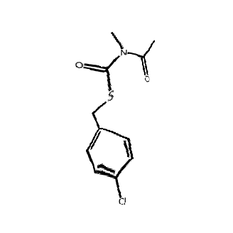 CC(=O)N(C)C(=O)SCc1ccc(Cl)cc1